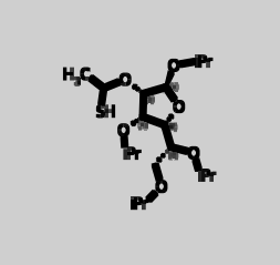 CC(C)OC[C@@H](OC(C)C)[C@H]1O[C@H](OC(C)C)[C@@H](OC(C)S)[C@H]1OC(C)C